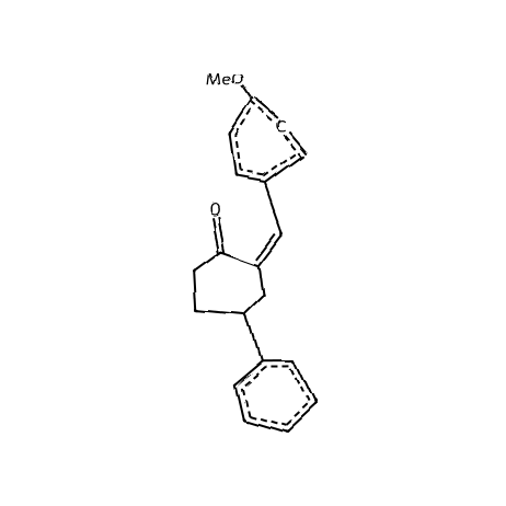 COc1ccc(/C=C2/CC(c3ccccc3)CCC2=O)cc1